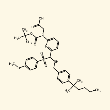 CCCCC(C)(C)c1ccc(CNC(c2cccc(N(CC(=O)O)C(=O)OC(C)(C)C)n2)S(=O)(=O)c2ccc(OC)cc2)cc1